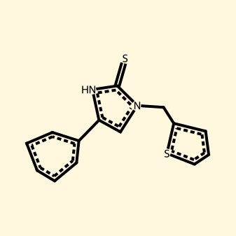 S=c1[nH]c(-c2ccccc2)cn1Cc1cccs1